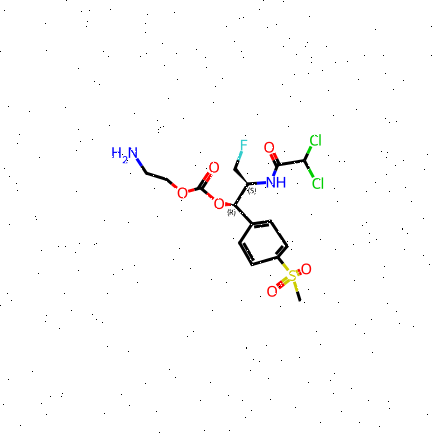 CS(=O)(=O)c1ccc([C@@H](OC(=O)OCCN)[C@@H](CF)NC(=O)C(Cl)Cl)cc1